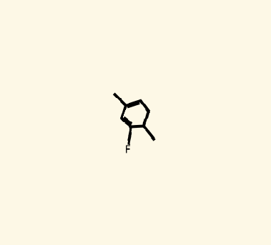 CC1=CCC(C)C(F)=C1